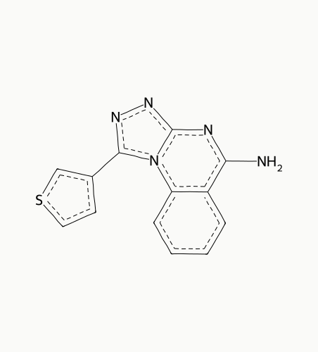 Nc1nc2nnc(-c3ccsc3)n2c2ccccc12